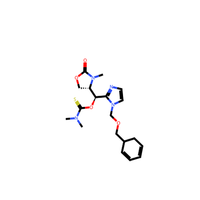 CN(C)C(=S)O[C@H](c1nccn1COCC1C=CC=CC1)[C@@H]1COC(=O)N1C